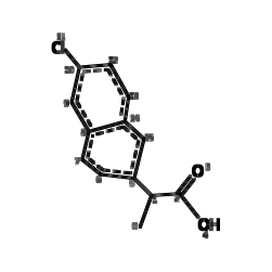 CC(C(=O)O)c1ccc2cc(Cl)ccc2c1